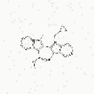 COC(=O)n1c(-c2c(Br)c3ccccc3n2CC2CC2)c(C)[n+]2ccccc12